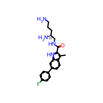 Cc1c(C(=O)NC[C@@H](N)CCCN)[nH]c2cc(-c3ccc(F)cc3)ccc12